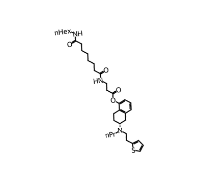 CCCCCCNC(=O)CCCCCCC(=O)NCCC(=O)Oc1cccc2c1CC[C@@H](N(CCC)CCc1cccs1)C2